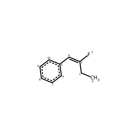 CC/C(F)=C\c1ccccc1